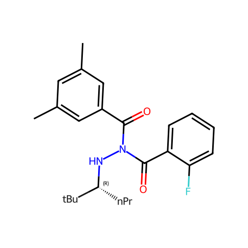 CCC[C@@H](NN(C(=O)c1cc(C)cc(C)c1)C(=O)c1ccccc1F)C(C)(C)C